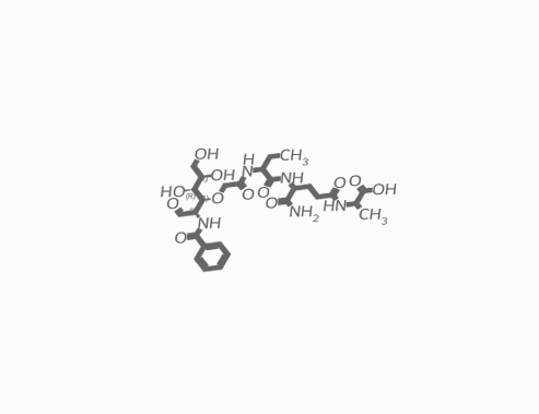 CCC(NC(=O)CO[C@@H]([C@H](O)[C@H](O)CO)[C@H](C=O)NC(=O)c1ccccc1)C(=O)NC(CCC(=O)NC(C)C(=O)O)C(N)=O